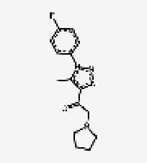 Cc1c(C(=O)CN2CCCC2)nnn1-c1ccc(F)cc1